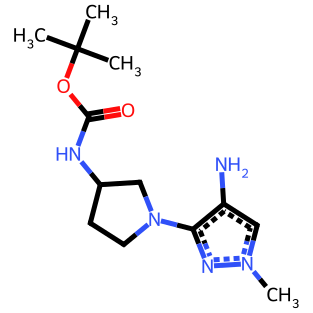 Cn1cc(N)c(N2CCC(NC(=O)OC(C)(C)C)C2)n1